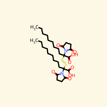 CCCCCCCCCC(SSC(CCCCCCCCC)(C(=O)O)N1C(=O)CCC1=O)(C(=O)O)N1C(=O)CCC1=O